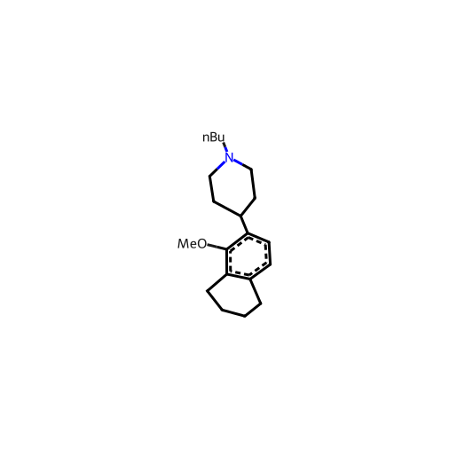 [CH2]CCCN1CCC(c2ccc3c(c2OC)CCCC3)CC1